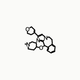 CN1CCC(OC2c3ccccc3CCn3cc(C4=CCOCC4)nc32)CC1